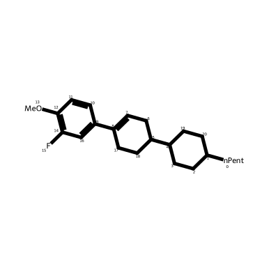 CCCCCC1CCC(C2CC=C(c3ccc(OC)c(F)c3)CC2)CC1